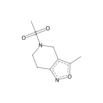 Cc1onc2c1CN(S(C)(=O)=O)CC2